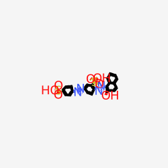 O=S(=O)(O)c1ccc(/N=N/c2ccc(/N=N/c3c(O)ccc4ccccc34)c(S(=O)(=O)O)c2)cc1